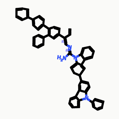 C=C/C(=C\N=C(/N)n1c2c(c3ccccc31)=CC(c1ccc3c(c1)c1ccccc1n3-c1ccccc1)CC=2)c1ccc(-c2ccc(-c3ccccc3)cc2)c(-c2ccccc2)c1